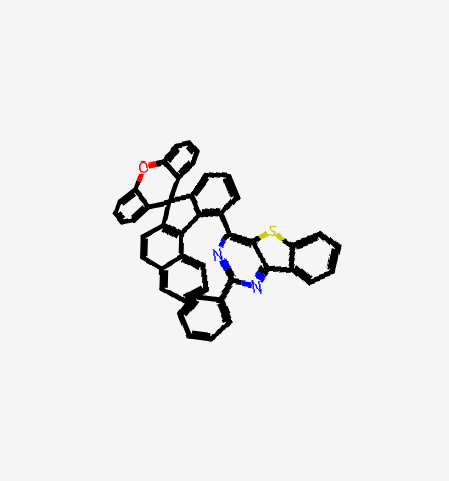 c1ccc(-c2nc(-c3cccc4c3-c3c(ccc5ccccc35)C43c4ccccc4Oc4ccccc43)c3sc4ccccc4c3n2)cc1